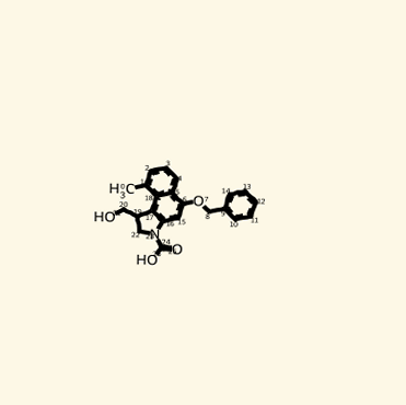 Cc1cccc2c(OCc3ccccc3)cc3c(c12)C(CO)CN3C(=O)O